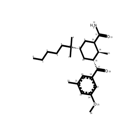 CCCCCC(C)(C)[C@@H]1CC(C(N)=O)[C@@H](C)[C@H](C(=O)c2cc(C)cc(OC)c2)C1